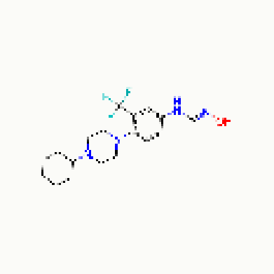 O/N=C/Nc1ccc(N2CCN(C3CCCCC3)CC2)c(C(F)(F)F)c1